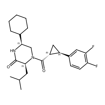 CC(C)C[C@H]1C(=O)N[C@@H](C2CCCCC2)CN1C(=O)[C@@H]1C[C@H]1c1ccc(F)c(F)c1